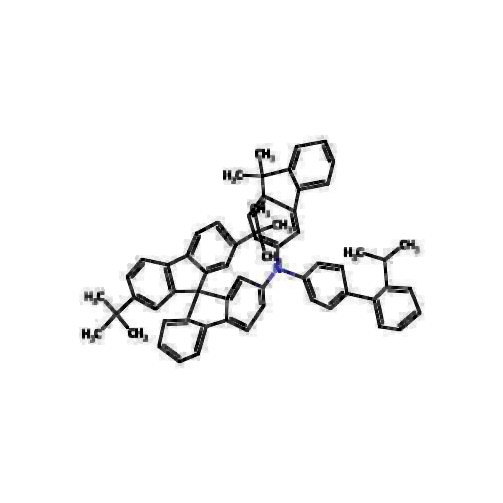 CC(C)c1ccccc1-c1ccc(N(c2ccc3c(c2)-c2ccccc2C3(C)C)c2ccc3c(c2)C2(c4ccccc4-3)c3cc(C(C)(C)C)ccc3-c3ccc(C(C)(C)C)cc32)cc1